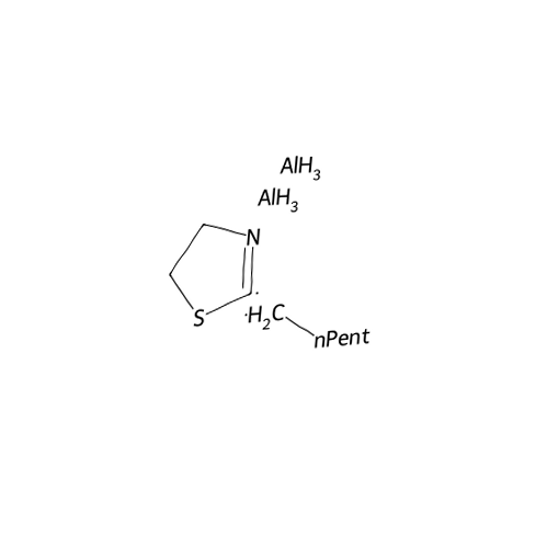 [AlH3].[AlH3].[CH2]CCCCC.[C]1=NCCS1